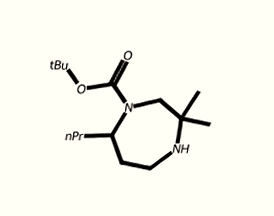 CCCC1CCNC(C)(C)CN1C(=O)OC(C)(C)C